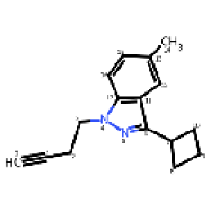 C#CCCn1nc(C2CCC2)c2cc(C)ccc21